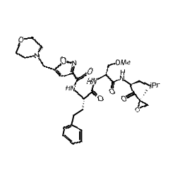 COC[C@H](NC(=O)[C@H](CCc1ccccc1)NC(=O)c1cc(CN2CCOCC2)on1)C(=O)N[C@@H](CC(C)C)C(=O)[C@@]1(C)CO1